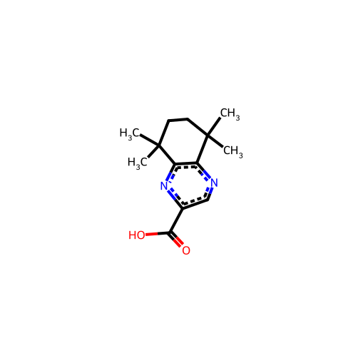 CC1(C)CCC(C)(C)c2nc(C(=O)O)cnc21